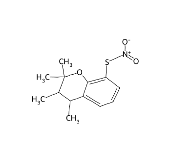 CC1c2cccc(S[N+](=O)[O-])c2OC(C)(C)C1C